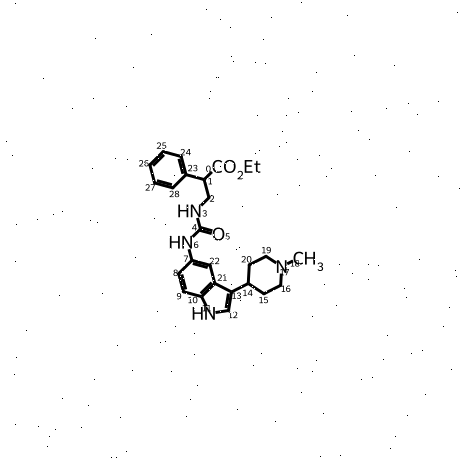 CCOC(=O)C(CNC(=O)Nc1ccc2[nH]cc(C3CCN(C)CC3)c2c1)c1ccccc1